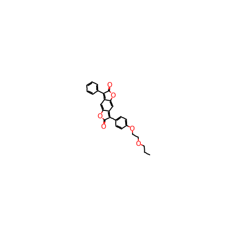 CCCOCCOc1ccc(C2=c3cc4c(cc3OC2=O)=C(c2ccccc2)C(=O)O4)cc1